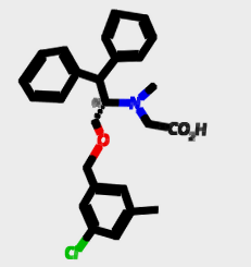 Cc1cc(Cl)cc(COC[C@H](C(c2ccccc2)c2ccccc2)N(C)CC(=O)O)c1